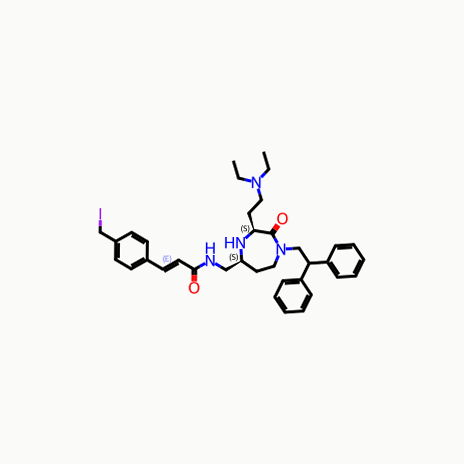 CCN(CC)CC[C@@H]1N[C@H](CNC(=O)/C=C/c2ccc(CI)cc2)CCN(CC(c2ccccc2)c2ccccc2)C1=O